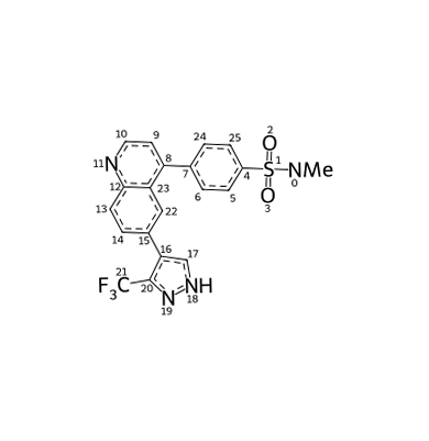 CNS(=O)(=O)c1ccc(-c2ccnc3ccc(-c4c[nH]nc4C(F)(F)F)cc23)cc1